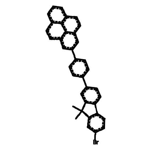 CC1(C)c2cc(Br)ccc2-c2ccc(-c3ccc(-c4cc5ccc6cccc7ccc(c4)c5c67)cc3)cc21